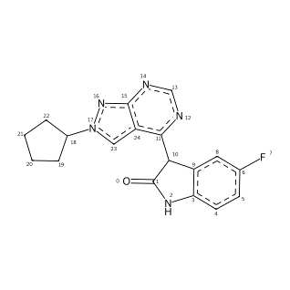 O=C1Nc2ccc(F)cc2C1c1ncnc2nn(C3CCCC3)cc12